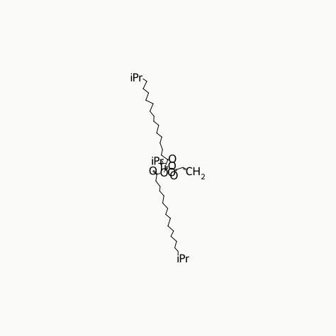 C=CC(=O)[O][Ti](=[O])([O]C(=O)CCCCCCCCCCCCCCC(C)C)([C](=O)CCCCCCCCCCCCCCC(C)C)[CH](C)C